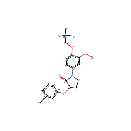 COc1cc(N2CCC(Oc3cccc(C)c3)C2=O)ccc1OCC(C)(C)C